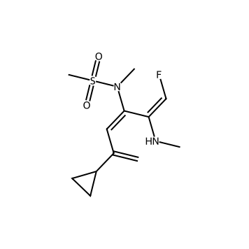 C=C(/C=C(\C(=C/F)NC)N(C)S(C)(=O)=O)C1CC1